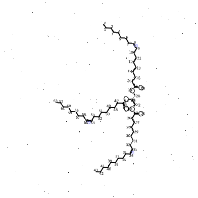 CCCCCCCC/C=C\CCCCCCCC(=O)OC[C@H](COC(=O)CCCCCCC/C=C\CCCCCCCCC)OC(=O)CCCCCCC/C=C\CCCCCCCC